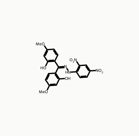 COc1ccc(C(=NNc2ccc([N+](=O)[O-])cc2[N+](=O)[O-])c2ccc(OC)cc2O)c(O)c1